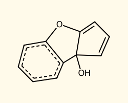 OC12C=CC=C1Oc1ccccc12